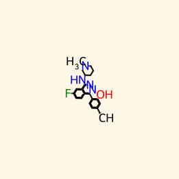 C#Cc1ccc(-c2nnc(NC3CCCN(C)C3)c3cc(F)ccc23)c(O)c1